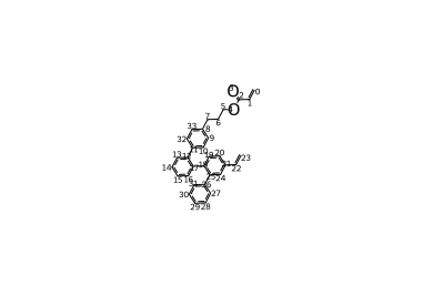 C=CC(=O)OCCCc1ccc(-c2ccccc2-c2ccc(C=C)cc2-c2ccccc2)cc1